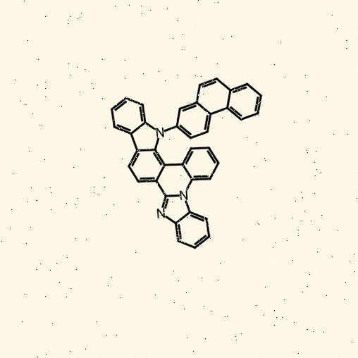 c1ccc2c(c1)ccc1cc(-n3c4ccccc4c4ccc5c(c6ccccc6n6c7ccccc7nc56)c43)ccc12